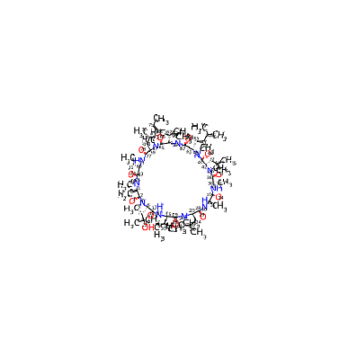 C=C1C(=O)N(C)[C@@H](CC(C)(C)O)C(=O)N[C@H](C(C)C)C(=O)N(C)[C@H](CC(C)C)C(=O)N[C@H](C)C(=O)N[C@@H](C)C(=O)N(C)[C@@H](CC(C)C)C(=O)N(C)[C@@H](CCC(C)C)C(=O)N(C)[C@@H](C(C)C)C(=O)N(C)C(C[C@H](C)C/C=C/C)C(=O)N[C@@H](CC)C(=O)N1C